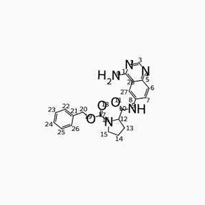 Nc1ncnc2ccc(NC(=O)C3CCCN3C(=O)OCc3ccccc3)cc12